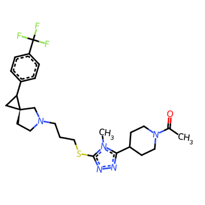 CC(=O)N1CCC(c2nnc(SCCCN3CC[C@]4(CC4c4ccc(C(F)(F)F)cc4)C3)n2C)CC1